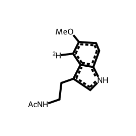 [2H]c1c(OC)ccc2[nH]cc(CCNC(C)=O)c12